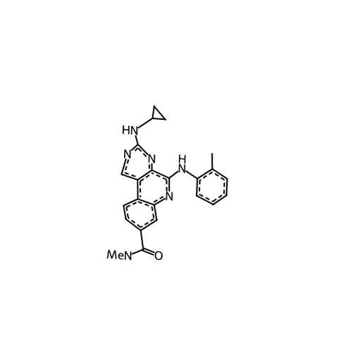 CNC(=O)c1ccc2c(c1)nc(Nc1ccccc1C)c1nc(NC3CC3)ncc12